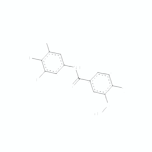 CCCSc1cc(C(=O)Nc2cc(F)c(F)c(F)c2)ccc1Cl